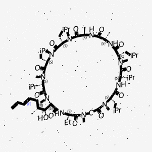 C=C/C=C/C[C@@H](C)[C@@H](O)[C@H]1C(=O)N[C@@H](CC)C(=O)N(C)CC(=O)N(C)[C@@H](CC(C)C)C(=O)N[C@@H](C(C)C)C(=O)N(C)[C@@H](CC(C)C)C(=O)N[C@@H](C)C(=O)N[C@H](C)C(=O)N(C)[C@@H](CC(C)C)C(=O)N(C)[C@@H](CC(C)C)C(=O)N(C)[C@@H](C(C)C)C(=O)N1C